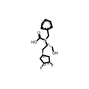 O=C(O)N(Cc1ccccc1)[C@H](CO)C[C@H]1C[C@@H](F)[C@@H](F)C1